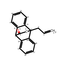 C=CCC12CC(=O)C(c3ccccc31)c1ccccc12